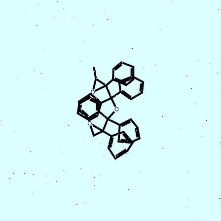 CC1OC1(c1ccccc1)C(OC(c1ccccc1)(c1ccccc1)C1(c2ccccc2)CO1)(c1ccccc1)c1ccccc1